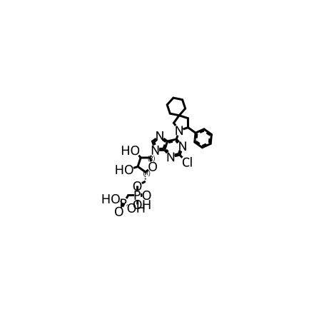 O=P(O)(O)CP(=O)(O)OC[C@H]1O[C@@H](n2cnc3c(N4CC5(CCCCC5)CC4c4ccccc4)nc(Cl)nc32)C(O)C1O